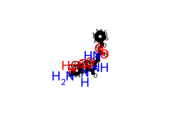 CC(NC(=O)CNC(=O)OCc1ccccc1)C(=O)NC(CC(N)=O)C(=O)O